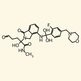 CNC(=O)C(O)(CCC=O)N1Cc2c(NC(O)(O)c3ccc(CN4CCOCC4)cc3F)cccc2C1=O